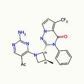 CC(=O)c1cnc(N)nc1N1C[C@H](C)[C@H]1c1nn2ccc(C(F)(F)F)c2c(=O)n1-c1ccccc1